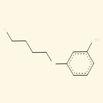 Oc1cccc(OCCCCF)c1